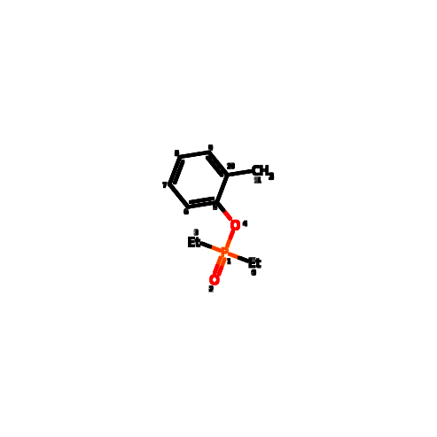 CCP(=O)(CC)Oc1ccccc1C